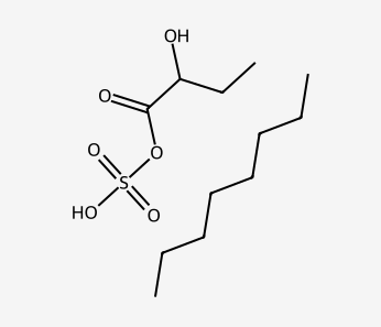 CCC(O)C(=O)OS(=O)(=O)O.CCCCCCCC